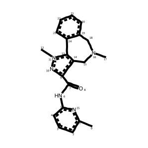 Cc1cccc(NC(=O)c2nn(C)c3c2CN(C)Cc2ccccc2-3)n1